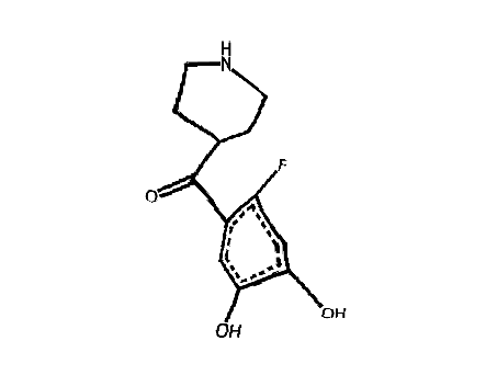 O=C(c1cc(O)c(O)cc1F)C1CCNCC1